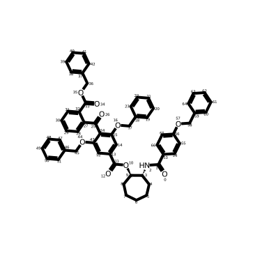 O=C(N[C@@H]1CCCCC[C@H]1OC(=O)c1cc(OCc2ccccc2)c(C(=O)c2ccccc2C(=O)OCc2ccccc2)c(OCc2ccccc2)c1)c1ccc(OCc2ccccc2)cc1